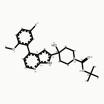 COc1ccc(F)cc1-c1ccnc2[nH]c(C3(O)CCN(C(=O)OC(C)(C)C)CC3)cc12